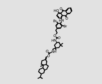 CC(C)C1CCC2C(CCC3CC(=COC(=O)NCC4(C)CC(NC(=O)OCCc5cc(Br)c(Nc6ccc(O)c7c6C(=O)c6ccccc6C7=O)c(Br)c5)CC(C)(C)C4)CCC32C)C1